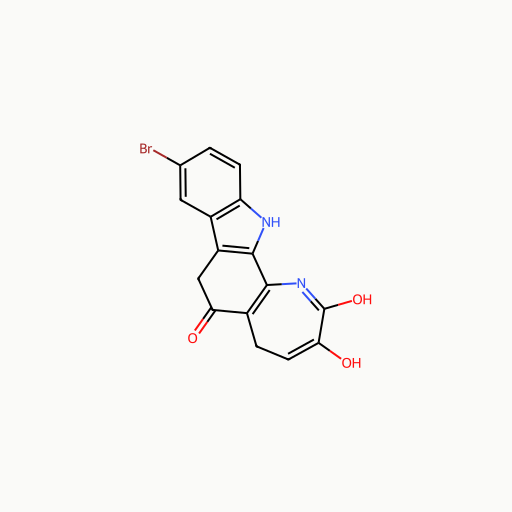 O=C1Cc2c([nH]c3ccc(Br)cc23)C2=C1CC=C(O)C(O)=N2